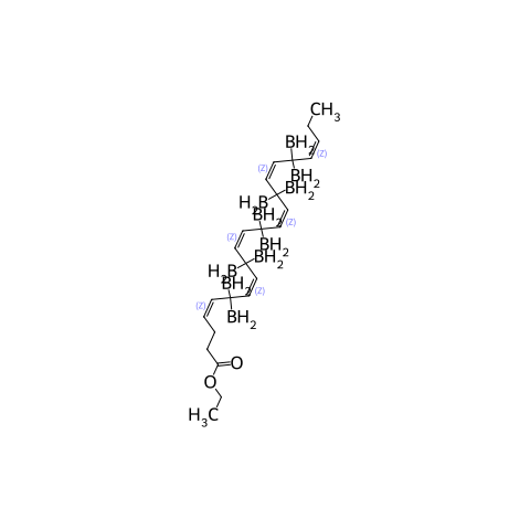 BC(B)(/C=C\CC)/C=C\C(B)(B)/C=C\C(B)(B)/C=C\C(B)(B)/C=C\C(B)(B)/C=C\CCC(=O)OCC